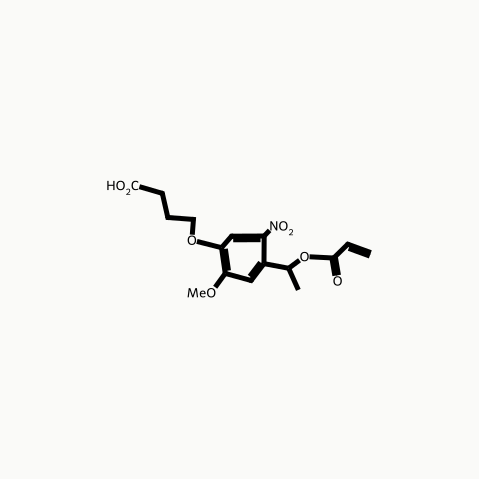 C=CC(=O)OC(C)c1cc(OC)c(OCCCC(=O)O)cc1[N+](=O)[O-]